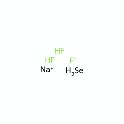 F.F.[F-].[Na+].[SeH2]